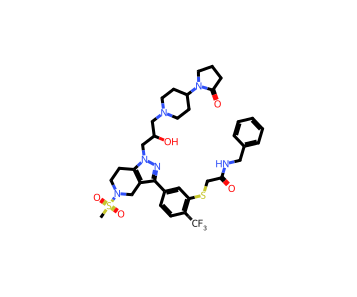 CS(=O)(=O)N1CCc2c(c(-c3ccc(C(F)(F)F)c(SCC(=O)NCc4ccccc4)c3)nn2CC(O)CN2CCC(N3CCCC3=O)CC2)C1